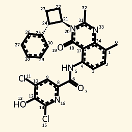 Cc1ccc(NC(=O)c2cc(Cl)c(O)c(Cl)n2)c2c(=O)n([C@@H]3CC[C@H]3c3ccccc3)c(C)nc12